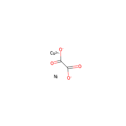 O=C([O-])C(=O)[O-].[Cu+2].[Ni]